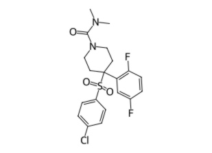 CN(C)C(=O)N1CCC(c2cc(F)ccc2F)(S(=O)(=O)c2ccc(Cl)cc2)CC1